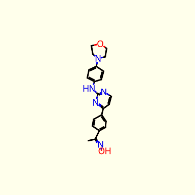 CC(=NO)c1ccc(-c2ccnc(Nc3ccc(N4CCOCC4)cc3)n2)cc1